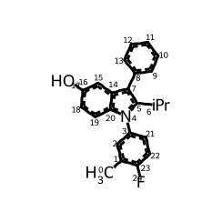 Cc1cc(-n2c(C(C)C)c(-c3ccccc3)c3cc(O)ccc32)ccc1F